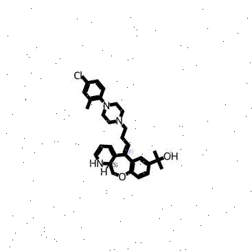 Cc1cc(Cl)ccc1N1CCN(CC/C=C2\C3=CC=CN[C@@H]3COc3ccc(C(C)(C)O)cc32)CC1